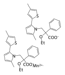 CCOC(Cn1c(C)ccc1-c1cc(C)cs1)(C(=O)[O-])c1ccccc1.CCOC(Cn1c(C)ccc1-c1cc(C)cs1)(C(=O)[O-])c1ccccc1.[Mn+2]